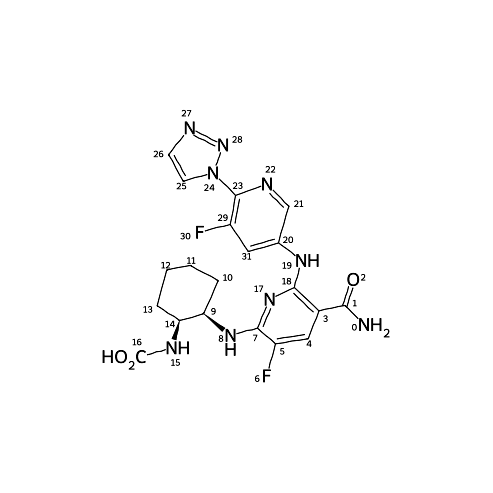 NC(=O)c1cc(F)c(N[C@@H]2CCCC[C@@H]2NC(=O)O)nc1Nc1cnc(-n2ccnn2)c(F)c1